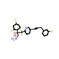 NCC(O)(c1ccc(F)cc1F)C(F)(F)c1ccc(C#CCc2cccc(F)c2)cn1